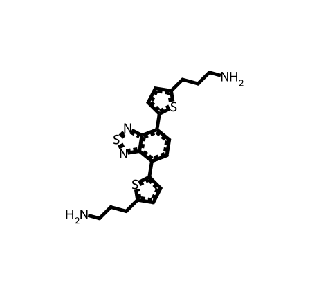 NCCCc1ccc(-c2ccc(-c3ccc(CCCN)s3)c3nsnc23)s1